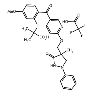 COc1ccc(C(=O)c2ccc(OCC3(C)CN(c4ccccc4)NC3=O)nc2)c(OC(C)(C)C(=O)O)c1.O=C(O)C(F)(F)F